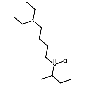 CCC(C)[SiH](Cl)CCCCN(CC)CC